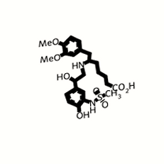 COc1ccc(CC(CCCCC(=O)O)NCC(O)c2ccc(O)c(NS(C)(=O)=O)c2)cc1OC